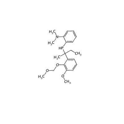 CCC(C)(Pc1ccccc1N(C)C)c1cccc(OC)c1OCOC